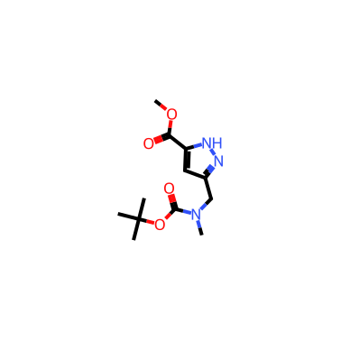 COC(=O)c1cc(CN(C)C(=O)OC(C)(C)C)n[nH]1